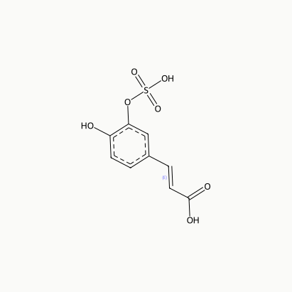 O=C(O)/C=C/c1ccc(O)c(OS(=O)(=O)O)c1